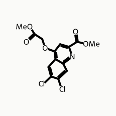 COC(=O)COc1cc(C(=O)OC)nc2cc(Cl)c(Cl)cc12